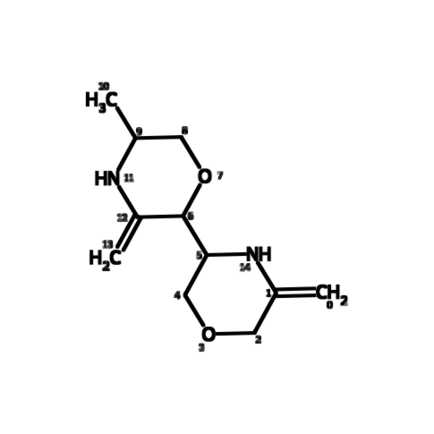 C=C1COCC(C2OCC(C)NC2=C)N1